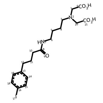 O=C(O)CN(CCCCNC(=O)CCCc1ccc(I)cc1)CC(=O)O